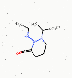 CCOC(=O)C(C)N1CCCC(=C=O)N1NCC(=O)O